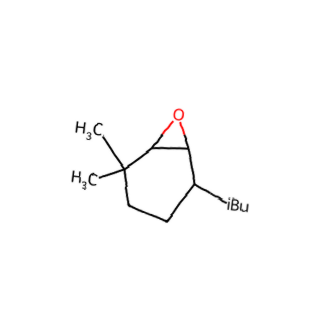 CCC(C)C1CCC(C)(C)C2OC12